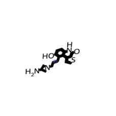 NC1CN(C/C=C/c2c(O)ccc3[nH]c(=O)c4sccc4c23)C1